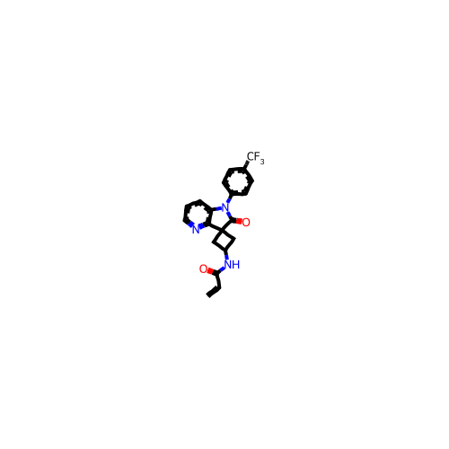 C=CC(=O)NC1CC2(C1)C(=O)N(c1ccc(C(F)(F)F)cc1)c1cccnc12